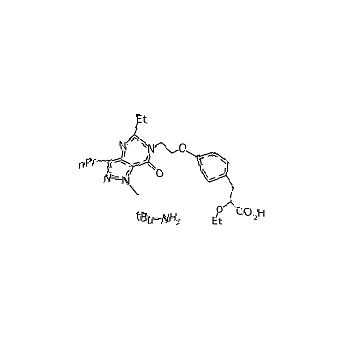 CC(C)(C)N.CCCc1nn(C)c2c(=O)n(CCOc3ccc(CC(OCC)C(=O)O)cc3)c(CC)nc12